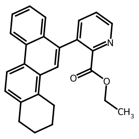 CCOC(=O)c1ncccc1-c1cc2c3c(ccc2c2ccccc12)CCCC3